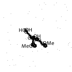 COc1ccccc1COCCCOc1ccc(C2C(O)CN(C(=O)CCCCCON(O)O)CC2OCc2cc(OC)c3ccccc3c2)cc1